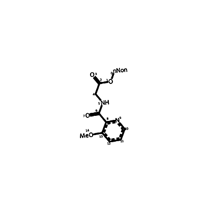 CCCCCCCCCOC(=O)CNC(=O)c1ncccc1OC